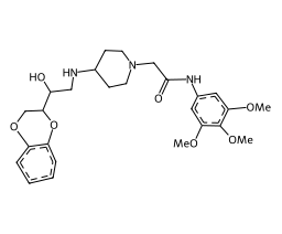 COc1cc(NC(=O)CN2CCC(NCC(O)C3COc4ccccc4O3)CC2)cc(OC)c1OC